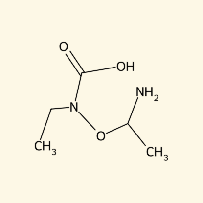 CCN(OC(C)N)C(=O)O